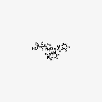 O=C(NC1(C23CC2(C(=O)O)C3)CC1)c1cncc2ccn(CC3Cc4ccccc4O3)c12